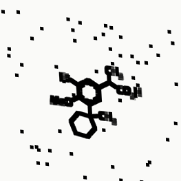 CCc1cc(C(C)C(=O)O)cc(C2(C)CCCCC2)c1OC